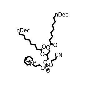 CCCCCCCCCCCCCCCCCC(=O)OCC(COP(=O)(OCCC#N)OCC[N+]12CCC(CC1)CC2)OC(=O)CCCCCCCCCCCCCCCCC